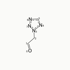 O=CCn1ncnn1